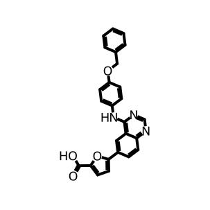 O=C(O)c1ccc(-c2ccc3ncnc(Nc4ccc(OCc5ccccc5)cc4)c3c2)o1